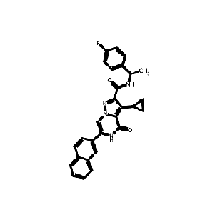 C[C@@H](NC(=O)c1nn2cc(-c3ccc4ccccc4c3)[nH]c(=O)c2c1C1CC1)c1ccc(F)cc1